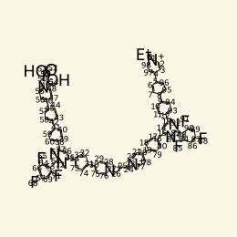 CC[n+]1ccc(-c2ccc(-c3ccc(-c4cc(-c5ccc(-c6cc[n+](CCC[n+]7ccc(-c8ccc(-c9cc(-c%10ccc(-c%11ccc(-c%12cc[n+](CP(=O)(O)O)cc%12)cc%11)cc%10)nc(-c%10c(F)cc(F)cc%10F)n9)cc8)cc7)cc6)cc5)nc(-c5c(F)cc(F)cc5F)n4)cc3)cc2)cc1